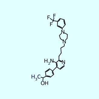 CC(O)c1ccc(-c2ccnc(CCCCN3CCN(c4cccc(C(F)(F)F)c4)CC3)c2N)cc1